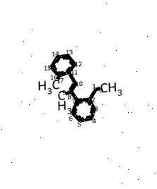 CCc1ccccc1C(C)=Cc1ccccc1C